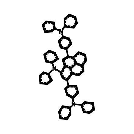 c1ccc(N(c2ccccc2)c2ccc(-c3cc4c(N(c5ccccc5)c5ccccc5)cc(-c5ccc(N(c6ccccc6)c6ccccc6)cc5)c5ccc6cccc3c6c54)cc2)cc1